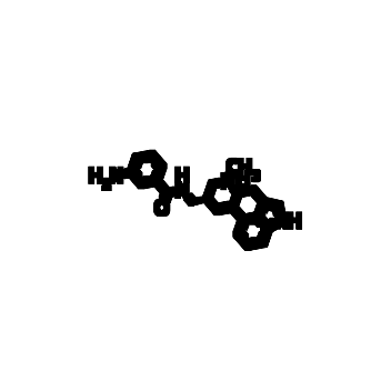 CN1C[C@H](CNC(=O)c2cccc(N)c2)C=C2c3cccc4[nH]cc(c34)C[C@H]21